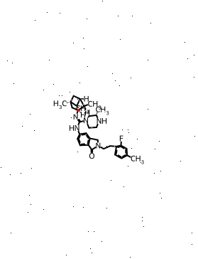 Cc1ccc(CCN2Cc3cc(N/C(=N/[C@H]4C[C@@]5(C)C[C@@H](C5C)[C@@H]4C)N4CCN[C@@H](C)C4)ccc3C2=O)c(F)c1